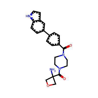 NC1(C(=O)N2CCN(C(=O)c3ccc(-c4ccc5[nH]ccc5c4)cc3)CC2)COC1